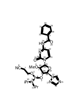 CO[C@@H]1[C@@H](OP(OCCC#N)N(C(C)C)C(C)C)[C@H](n2cncn2)O[C@H]1n1ccc(NC(=O)c2ccccc2)nc1=O